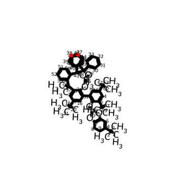 CC(C)(C)C1=CC2=C(CC1)OP(Oc1c(-c3cc(C(C)(C)C)cc4c3OP3OC(c5ccccc5)(c5ccccc5)C(c5ccccc5)(O3)c3ccccc3C4(C)C)cc(C(C)(C)C)cc1C(C)(C)C)O2